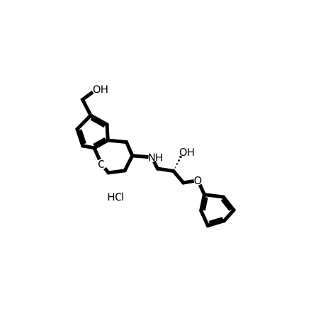 Cl.OCc1ccc2c(c1)CC(NC[C@H](O)COc1ccccc1)CCC2